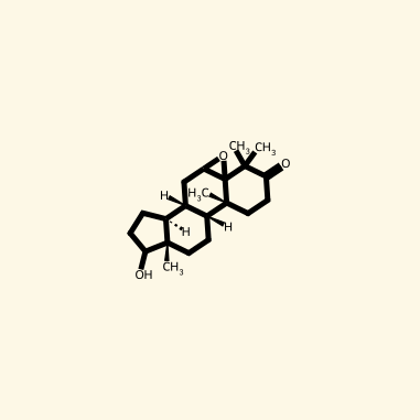 CC1(C)C(=O)CC[C@]2(C)[C@@H]3CC[C@]4(C)C(O)CC[C@H]4[C@@H]3CC3OC312